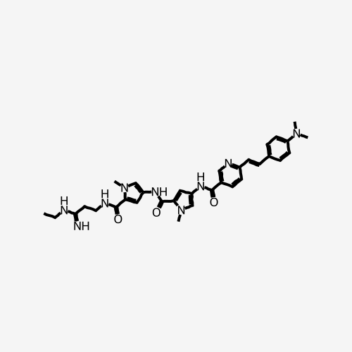 CCNC(=N)CCNC(=O)c1cc(NC(=O)c2cc(NC(=O)c3ccc(/C=C/c4ccc(N(C)C)cc4)nc3)cn2C)cn1C